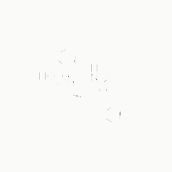 O=C(NC1CC=CCN(C(=O)O)C1Cc1ccccc1)OCc1ccccc1